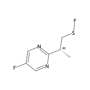 C[C@@H](CSF)c1ncc(F)cn1